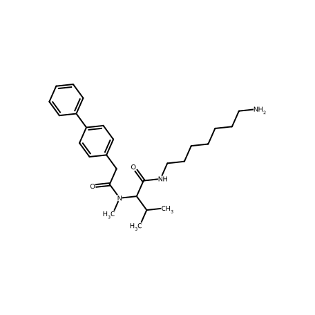 CC(C)C(C(=O)NCCCCCCCN)N(C)C(=O)Cc1ccc(-c2ccccc2)cc1